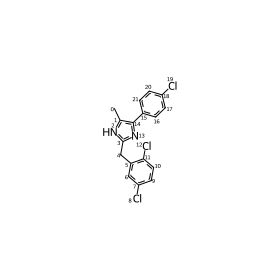 Cc1[nH]c(Cc2cc(Cl)ccc2Cl)nc1-c1ccc(Cl)cc1